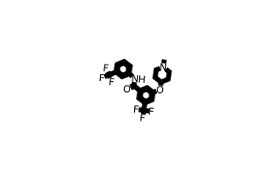 CN1CCC(Oc2cc(C(=O)Nc3cccc(C(F)(F)F)c3)cc(C(F)(F)F)c2)CC1